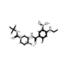 CCNc1cc(F)c(C(=O)N[C@H]2CN(C(=O)OC(C)(C)C)CC[C@@H]2F)cc1[N+](=O)[O-]